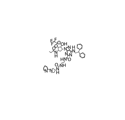 CCC(=O)N[C@H]1C[C@@H](n2cnc3c(NCC(c4ccccc4)c4ccccc4)nc(C(=O)NCCNC(=O)N[C@@H]4CCN(c5ccccn5)C4)nc32)[C@H](O)[C@@H]1OC(=O)C(F)(F)F